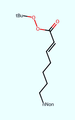 CCCCCCCCCCCCCC=CC(=O)OOC(C)(C)C